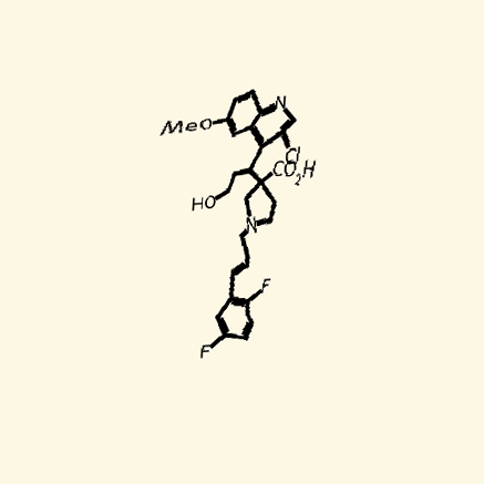 COc1ccc2ncc(Cl)c(C(CCO)C3(C(=O)O)CCN(CC=Cc4cc(F)ccc4F)C3)c2c1